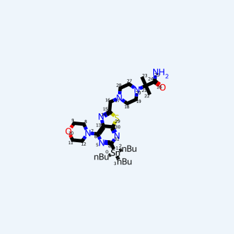 CCC[CH2][Sn]([CH2]CCC)([CH2]CCC)[c]1nc(N2CCOCC2)c2nc(CN3CCN(C(C)(C)C(N)=O)CC3)sc2n1